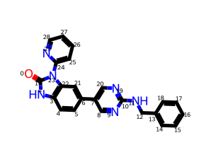 O=c1[nH]c2ccc(-c3cnc(NCc4ccccc4)nc3)cc2n1-c1ccccn1